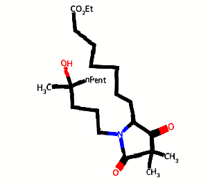 CCCCCC(C)(O)CCCN1C(=O)C(C)(C)C(=O)C1CCCCCCC(=O)OCC